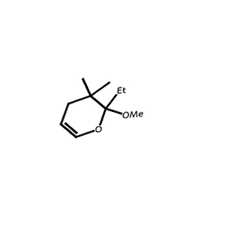 CCC1(OC)OC=CCC1(C)C